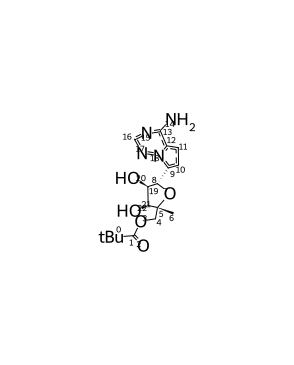 CC(C)(C)C(=O)OC[C@@]1(C)O[C@@H](c2ccc3c(N)ncnn23)[C@H](O)[C@@H]1O